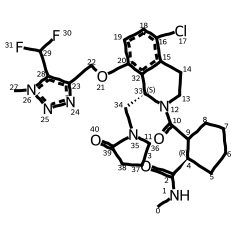 CNC(=O)[C@@H]1CCCCC1C(=O)N1CCc2c(Cl)ccc(OCc3nnn(C)c3C(F)F)c2[C@H]1CN1CCCC1=O